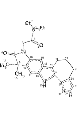 CCN(CC)C(=O)CN1C(=O)C(C)(C)c2cc3[nH]c4c(c3cc21)CCCc1c[nH]nc1-4